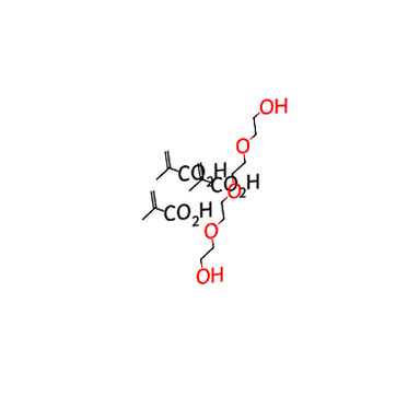 C=C(C)C(=O)O.C=C(C)C(=O)O.C=C(C)C(=O)O.OCCOCCOCCOCCO